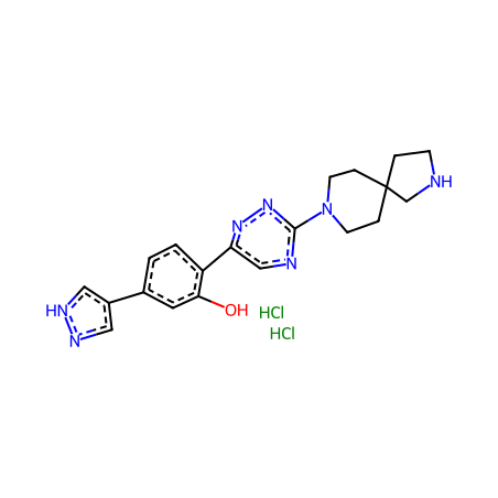 Cl.Cl.Oc1cc(-c2cn[nH]c2)ccc1-c1cnc(N2CCC3(CCNC3)CC2)nn1